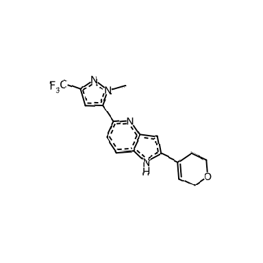 Cn1nc(C(F)(F)F)cc1-c1ccc2[nH]c(C3=CCOCC3)cc2n1